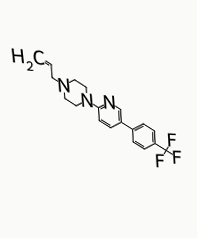 C=CCN1CCN(c2ccc(-c3ccc(C(F)(F)F)cc3)cn2)CC1